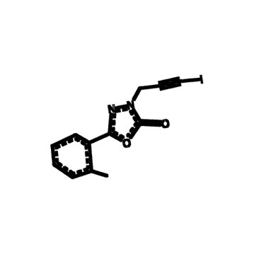 Cc1ccccc1-c1nn(CC#CI)c(=O)o1